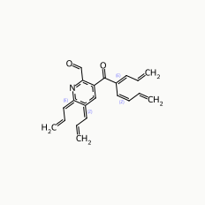 C=C/C=C\C(=C/C=C)C(=O)c1cc(=C/C=C)/c(=C\C=C)nc1C=O